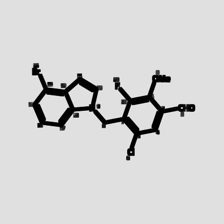 COc1c(C=O)cc(Cl)c(Cn2ccc3c(Br)cccc32)c1F